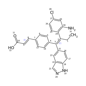 CC/C(=C(/c1ccc(/C=C/C(=O)O)cc1)c1ccc2[nH]ncc2c1)c1ccc(Cl)cc1N